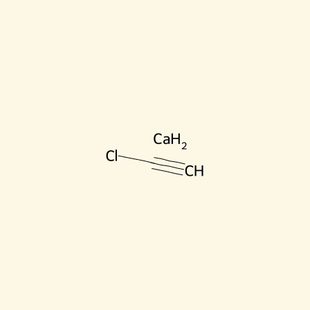 C#CCl.[CaH2]